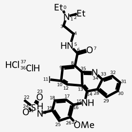 CCN(CC)CCNC(=O)c1cc(I)cc2c(Nc3ccc(NS(C)(=O)=O)cc3OC)c3ccccc3nc12.Cl.Cl